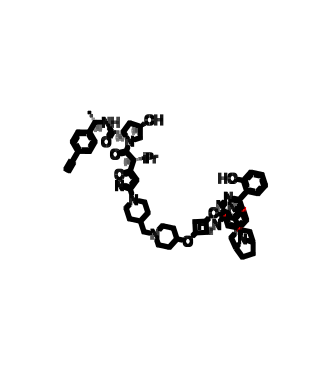 C#Cc1ccc([C@H](C)NC(=O)[C@@H]2C[C@@H](O)CN2C(=O)[C@@H](c2cc(N3CCC(CN4CCC(OC5CC(Oc6cc(N7C8CCC7CN(c7cc(-c9ccccc9O)nnc7N)C8)ccn6)C5)CC4)CC3)no2)C(C)C)cc1